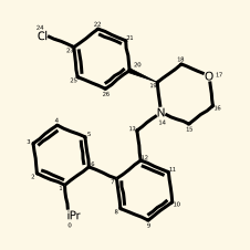 CC(C)c1ccccc1-c1ccccc1CN1CCOC[C@@H]1c1ccc(Cl)cc1